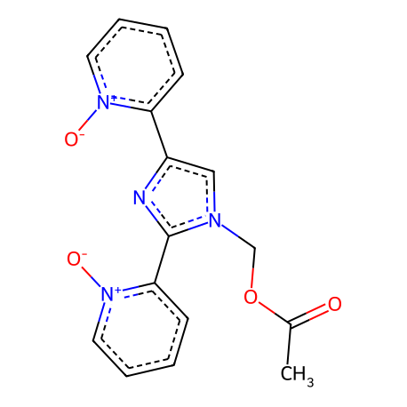 CC(=O)OCn1cc(-c2cccc[n+]2[O-])nc1-c1cccc[n+]1[O-]